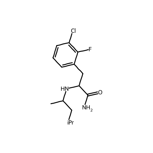 CC(C)CC(C)NC(Cc1cccc(Cl)c1F)C(N)=O